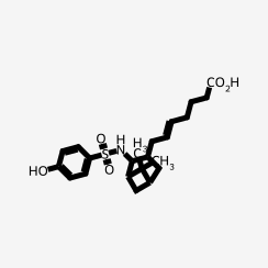 CC1(C)C2CC(CC=CCCCC(=O)O)C(NS(=O)(=O)c3ccc(O)cc3)C1C2